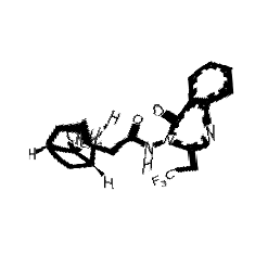 CC1(C)[C@H]2CC[C@@H](CC(=O)Nn3c(CC(F)(F)F)nc4ccccc4c3=O)[C@@H]1C2